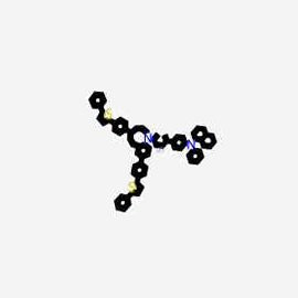 C=C(/C=C\C(=C)n1cccc(-c2ccc(-c3ccc(-c4ccccc4)s3)cc2)ccc2cc(-c3ccc(-c4ccc(-c5ccccc5)s4)cc3)ccc21)c1ccc(N(C2=C3C=CCCC3CC=C2)c2ccccc2)cc1